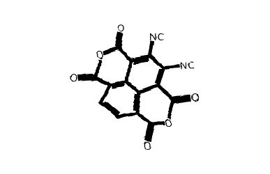 [C-]#[N+]c1c([N+]#[C-])c2c3c(ccc4c3c1C(=O)OC4=O)C(=O)OC2=O